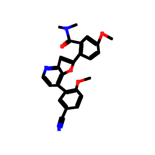 COc1ccc(-c2cc3nccc(-c4cc(C#N)ccc4OC)c3o2)c(C(=O)N(C)C)c1